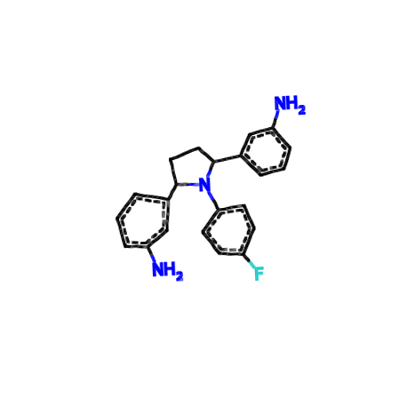 Nc1cccc(C2CCC(c3cccc(N)c3)N2c2ccc(F)cc2)c1